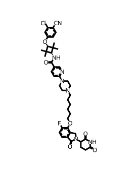 CC1(C)[C@H](NC(=O)c2ccc(N3CCN(CCCCCCOc4c(F)ccc5c4CN(C4CCC(=O)NC4=O)C5=O)CC3)nc2)C(C)(C)[C@H]1Oc1ccc(C#N)c(Cl)c1